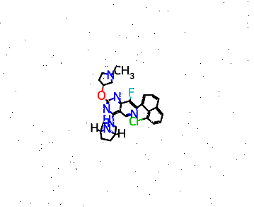 CN1CC[C@H](Oc2nc(N3C[C@H]4CC[C@@H](C3)N4)c3cnc(-c4cccc5cccc(Cl)c45)c(F)c3n2)C1